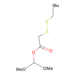 COC(OC)OC(=O)CSSCC(C)(C)C